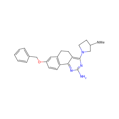 CNC1CCN(c2nc(N)nc3c2CCc2cc(OCc4ccccc4)ccc2-3)C1